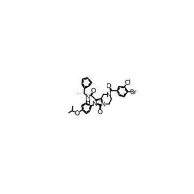 CC(C)Oc1ccc(-n2c(C(=O)N[C@H](C)c3ccccc3)c3n(c2=O)CCN(C(=O)c2ccc(Br)c(Cl)c2)C3)cc1